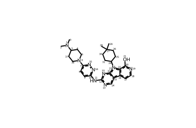 CN(C)C1CCN(c2ccc(Nc3ncc4c5ccnc(O)c5n(C5CCC(C)(C)CC5)c4n3)nn2)CC1